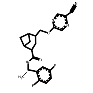 C[C@H](NC(=O)C1CC(COc2cnc(C#N)cn2)C2CC1C2)c1cc(F)ccc1F